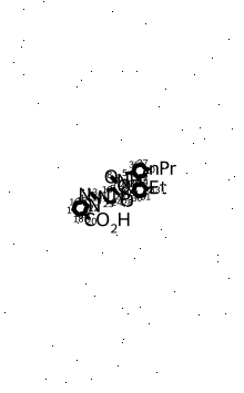 CCCc1ccc(CNC(=O)[C@H]2CN(c3cnc4cccc(C(=O)O)c4n3)CCN2S(=O)(=O)c2ccc(CC)cc2)cc1